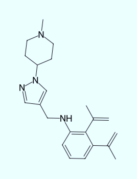 C=C(C)c1cccc(NCc2cnn(C3CCN(C)CC3)c2)c1C(=C)C